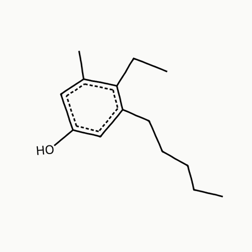 CCCCCc1cc(O)cc(C)c1CC